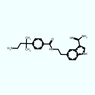 CC(C)(CCN)c1ccc(C(=O)NCCc2ccc3[nH]cc(C(=N)N)c3c2)cc1